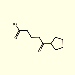 O=C(O)CCCC(=O)C1CCCC1